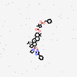 C=C(C)[C@@H]1CC[C@]2(C(=O)N3CCC[C@H]3c3nc(-c4ccccc4)cn3C)CC[C@]3(C)[C@H](CCC4[C@@]5(C)CC[C@H](OC(=O)[C@H]6C[C@@H](C(=O)OCc7ccccc7)C6(C)C)C(C)(C)C5CC[C@]43C)C12